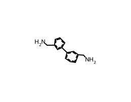 NCc1cccc(-c2cccc(CN)c2)c1